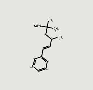 CNC(C)(C)CC(C)C=Cc1cccnc1